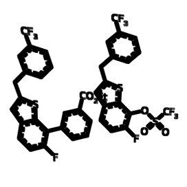 CCOC(=O)c1cccc(-c2c(F)ccc3cc(Cc4cccc(C(F)(F)F)c4)sc23)c1.O=S(=O)(Oc1c(F)ccc2cc(Cc3cccc(C(F)(F)F)c3)sc12)C(F)(F)F